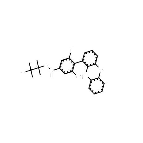 CC(C)(O)C(C)(C)OBc1cc(Cl)c(-c2cccc3c2Oc2ccccc2O3)c(C#N)c1